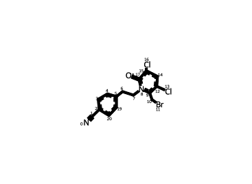 N#Cc1ccc(CCn2c(CBr)c(Cl)cc(Cl)c2=O)cc1